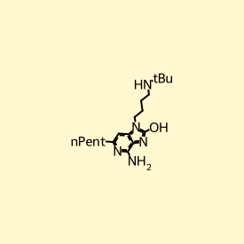 CCCCCc1cc2c(nc(O)n2CCCCNC(C)(C)C)c(N)n1